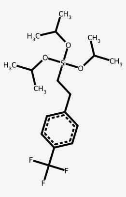 CC(C)O[Si](CCc1ccc(C(F)(F)F)cc1)(OC(C)C)OC(C)C